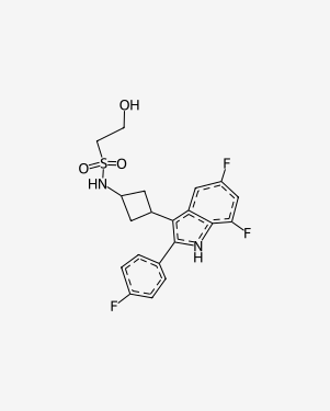 O=S(=O)(CCO)NC1CC(c2c(-c3ccc(F)cc3)[nH]c3c(F)cc(F)cc23)C1